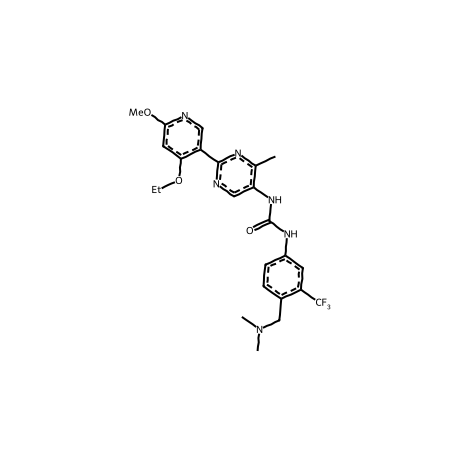 CCOc1cc(OC)ncc1-c1ncc(NC(=O)Nc2ccc(CN(C)C)c(C(F)(F)F)c2)c(C)n1